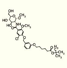 COc1cc(OCc2cccc(OCCCCCC(=O)OC(C)(C)C)c2)c(Cl)cc1C(=O)N[C@H]1[C@@H](OC)O[C@H](CO)[C@@H](O)[C@@H]1O